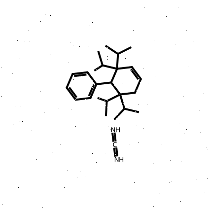 CC(C)C1(C(C)C)C=CCC(C(C)C)(C(C)C)C1c1ccccc1.N=C=N